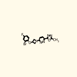 Cc1nnc(-c2ccc(N3CC(Oc4ccc(F)cc4Br)C3)nn2)o1